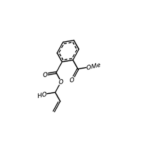 C=CC(O)OC(=O)c1ccccc1C(=O)OC